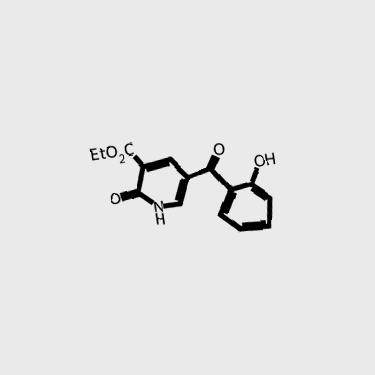 CCOC(=O)c1cc(C(=O)c2ccccc2O)c[nH]c1=O